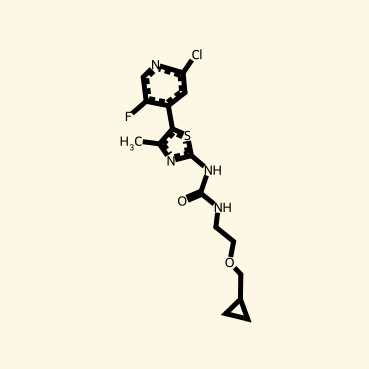 Cc1nc(NC(=O)NCCOCC2CC2)sc1-c1cc(Cl)ncc1F